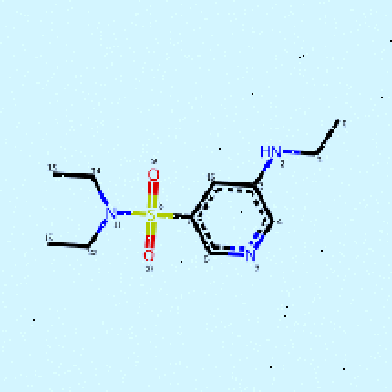 CCNc1cncc(S(=O)(=O)N(CC)CC)c1